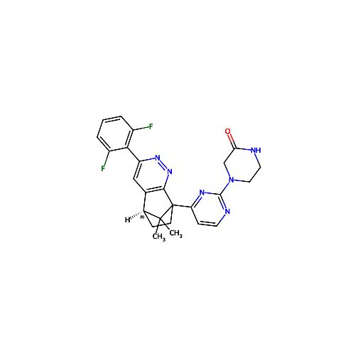 CC1(C)[C@H]2CCC1(c1ccnc(N3CCNC(=O)C3)n1)c1nnc(-c3c(F)cccc3F)cc12